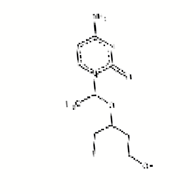 CC(OC(CF)CCO)n1ccc(N)nc1=O